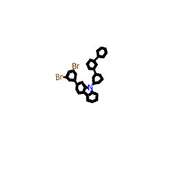 Brc1cc(Br)cc(-c2ccc3c4ccccc4n(-c4cccc(-c5cccc(-c6ccccc6)c5)c4)c3c2)c1